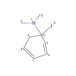 CN(C)C1(I)C=CC=CC1